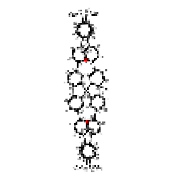 COc1ccc(-c2ccc(C3=CC4C(C)(C=C3)c3ccc(-c5ccc(-c6ccc(OC)cc6)cc5)cc3C43c4cc(-c5ccc(-c6ccc(OC)cc6)cc5)ccc4-c4ccc(-c5ccc(-c6ccc(OC)cc6)cc5)cc43)cc2)cc1